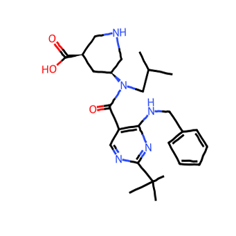 CC(C)CN(C(=O)c1cnc(C(C)(C)C)nc1NCc1ccccc1)[C@@H]1CNC[C@H](C(=O)O)C1